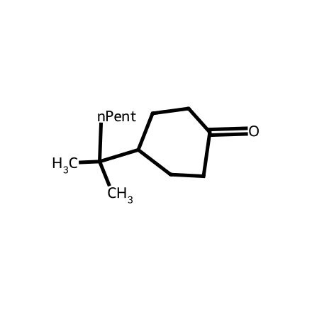 CCCCCC(C)(C)C1CCC(=O)CC1